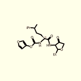 CCC1OCC(=O)C1NC(=O)[C@H](CCC(C)C(C)C)NC(=O)Oc1ccoc1